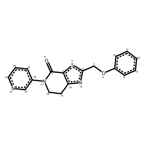 O=C1c2sc(COc3ccccc3)nc2CCN1c1cccnc1